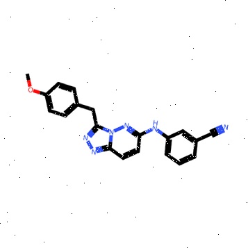 COc1ccc(Cc2nnc3ccc(Nc4cccc(C#N)c4)nn23)cc1